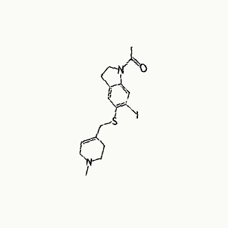 CC(=O)N1CCc2cc(SCC3=CCN(C)CC3)c(I)cc21